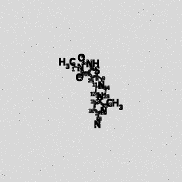 CCn1c(=O)[nH]c2sc(CN3CCN(c4ccc(C#N)nc4C)CC3)cc2c1=O